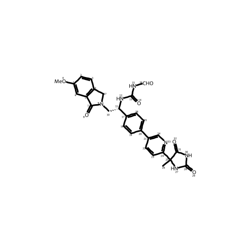 COc1ccc2c(c1)C(=O)N(C[C@H](NC(=O)NC=O)c1ccc(-c3ccc(C4(C)NC(=O)NC4=O)nc3)cc1)C2